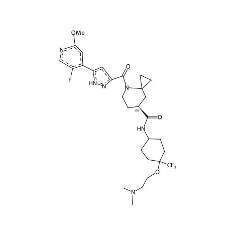 COc1cc(-c2cc(C(=O)N3CC[C@H](C(=O)NC4CCC(OCCN(C)C)(C(F)(F)F)CC4)CC34CC4)n[nH]2)c(F)cn1